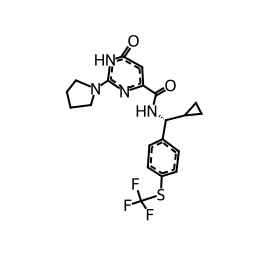 O=C(N[C@@H](c1ccc(SC(F)(F)F)cc1)C1CC1)c1cc(=O)[nH]c(N2CCCC2)n1